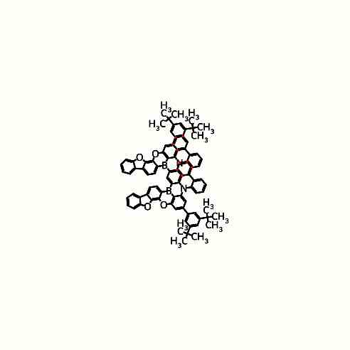 CC(C)(C)c1cc(-c2cc3c4c(c2)N(c2ccccc2-c2ccccc2)c2cc5c(cc2B4c2ccc4c(oc6ccccc64)c2O3)B2c3ccc4c(oc6ccccc64)c3Oc3cc(-c4cc(C(C)(C)C)cc(C(C)(C)C)c4)cc(c32)N5c2ccccc2-c2ccccc2)cc(C(C)(C)C)c1